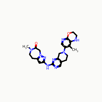 Cc1c(N2CCc3cnc(Nc4cc5n(n4)CC(=O)N(C)CC5)nc3C2)cnc2c1NCCO2